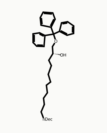 CCCCCCCCCCCCCCCCCCC[C@@H](O)COC(c1ccccc1)(c1ccccc1)c1ccccc1